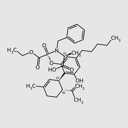 C=C(C)[C@@H]1CCC(C)=C[C@H]1c1c(O)cc(CCCCC)cc1OP(=O)(C(=O)OCC)N(Cc1ccccc1)[C@@H](C)C(=O)O